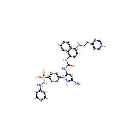 CC(C)(C)c1cc(NC(=O)Nc2ccc(OCCc3ccncc3)c3ccccc23)n(-c2ccc(S(=O)(=O)ONc3ccccc3)cc2)n1